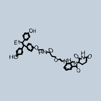 CCC(=C(c1ccc(O)cc1)c1ccc(OCCNC(=O)CCOCCNc2cccc3c2CN(C2CCC(=O)NC2=O)C3=O)cc1)c1ccc(O)cc1